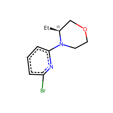 CC[C@H]1COCCN1c1c[c]cc(Br)n1